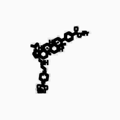 C=C(C)[C@@H]1CC[C@]2(CNCCN3CCN(C(=O)OC(C)(C)C)CC3)CC[C@]3(C)[C@H](CC[C@@H]4[C@@]5(C)CC=C(c6ccc(C(=O)OC(C)C)cc6)C(C)(C)[C@@H]5CC[C@]43C)[C@@H]12